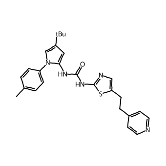 Cc1ccc(-n2cc(C(C)(C)C)cc2NC(=O)Nc2ncc(CCc3ccncc3)s2)cc1